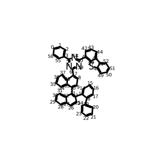 c1ccc(-c2nc(-c3ccc(-c4c(-c5ccccc5-c5ccccc5)ccc5ccccc45)c4ccccc34)nc(-c3cccc4c3sc3ccccc34)n2)cc1